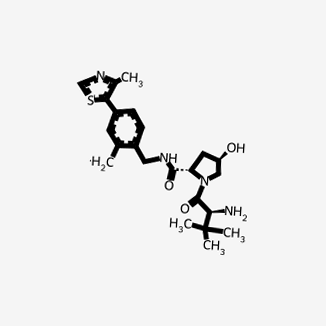 [CH2]c1cc(-c2scnc2C)ccc1CNC(=O)[C@@H]1C[C@@H](O)CN1C(=O)[C@@H](N)C(C)(C)C